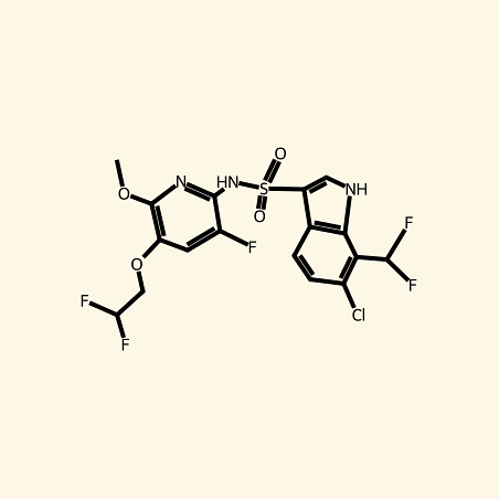 COc1nc(NS(=O)(=O)c2c[nH]c3c(C(F)F)c(Cl)ccc23)c(F)cc1OCC(F)F